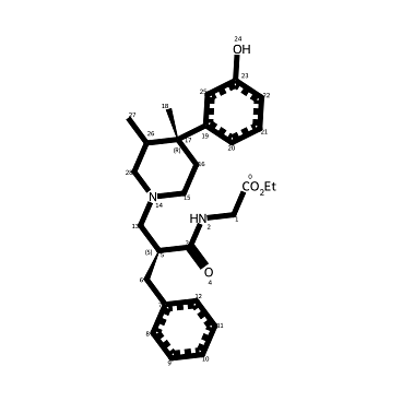 CCOC(=O)CNC(=O)[C@@H](Cc1ccccc1)CN1CC[C@@](C)(c2cccc(O)c2)C(C)C1